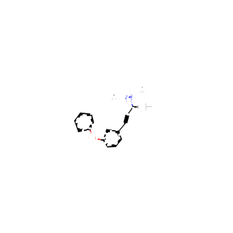 CC(=O)ON(C(C)=O)C(C)C#Cc1cccc(Oc2ccccc2)c1